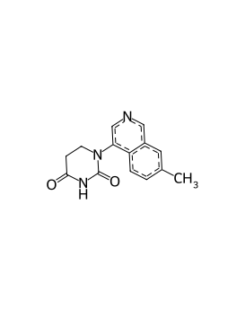 Cc1ccc2c(N3CCC(=O)NC3=O)cncc2c1